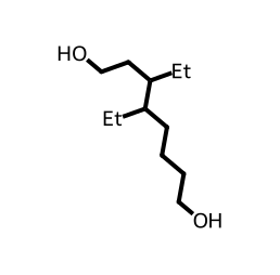 CCC(CCO)C(CC)CCCCO